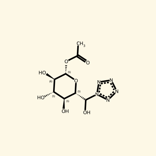 CC(=O)O[C@@H]1O[C@H](C(O)n2nnnn2)[C@@H](O)[C@H](O)[C@H]1O